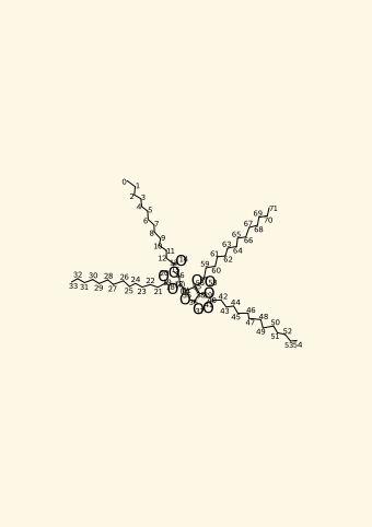 CCCCCCCCCCCCCC(=O)OC[C@H](OC(=O)CCCCCCCCCCCCC)[C@H]1OC(=O)C(OC(=O)CCCCCCCCCCCCC)=C1OC(=O)CCCCCCCCCCCCC